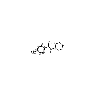 O=C(NC1CCCCC1)c1cnc(Cl)cn1